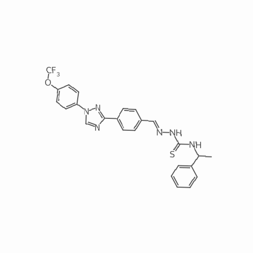 CC(NC(=S)N/N=C/c1ccc(-c2ncn(-c3ccc(OC(F)(F)F)cc3)n2)cc1)c1ccccc1